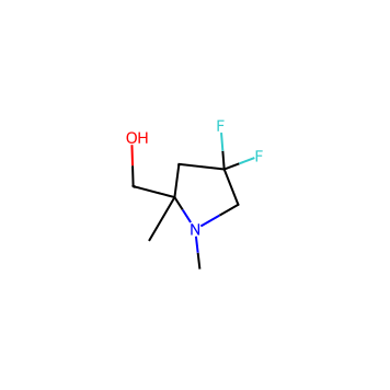 CN1CC(F)(F)CC1(C)CO